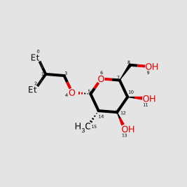 CCC(CC)CO[C@@H]1O[C@@H](CO)[C@@H](O)[C@@H](O)[C@@H]1C